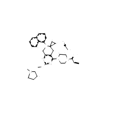 C=CC(=O)N1CCN(c2nc(OC[C@@H]3CCCN3C)nc3c2CC2(CC2)N(c2cccc4ccccc24)C3)C[C@@H]1CC#N